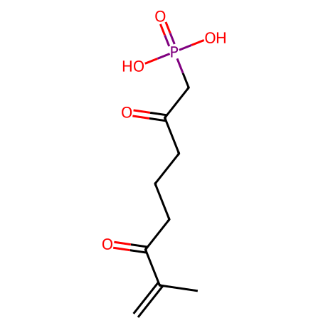 C=C(C)C(=O)CCCC(=O)CP(=O)(O)O